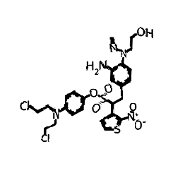 C=NN(CCO)c1ccc(CC(c2ccsc2[N+](=O)[O-])S(=O)(=O)Oc2ccc(N(CCCl)CCCl)cc2)cc1N